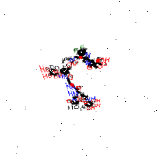 CC[C@@]1(O)C(=O)OCc2c1cc1n(c2=O)Cc2c-1nc1cc(F)c(F)cc1c2CCN(C(=O)OCc1ccc(O[C@@H]2O[C@H](C(=O)O)[C@@H](O)[C@H](O)[C@H]2O)c(NC(=O)CCNC(=O)[C@H](CCCC(=O)N[C@@H]2O[C@H](C(=O)O)[C@@H](O)[C@H](O)[C@H]2O)NC(=O)CN2C(=O)C=CC2=O)c1)C(C)C